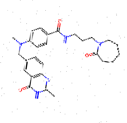 Cc1nc2ccc(CN(C)c3ccc(C(=O)NCCCN4CCCCCC4=O)cc3)cc2c(=O)[nH]1